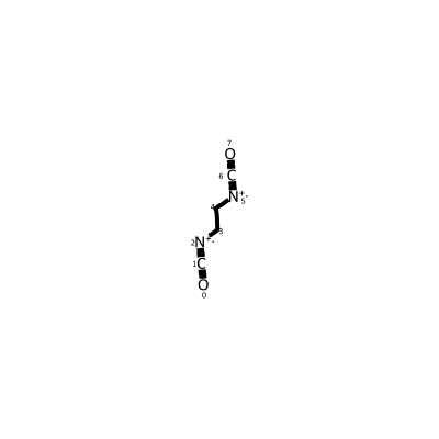 O=C=[N+]CC[N+]=C=O